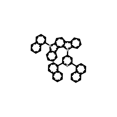 c1ccc2c(-c3cc(-n4c5ccccc5c5ccc6c(c7ccccc7n6-c6cccc7ccccc67)c54)cc(-c4cccc5ccccc45)n3)cccc2c1